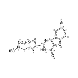 CC(C)(C)N(Cc1nc(-c2nc3c(oc4ccc(Br)cc43)c(=O)[nH]2)cs1)C(=O)O